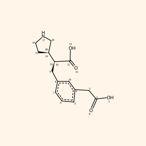 O=C(O)Cc1cccc(C[C@H](C(=O)O)[C@H]2CCNC2)c1